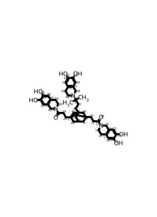 CC(C)(CCC12CC3CC(CCC(=O)N4CCc5cc(O)c(O)cc5C4)(CC(CCC(=O)N4CCc5cc(O)c(O)cc5C4)(C3)C1)C2)N1CCc2cc(O)c(O)cc2C1